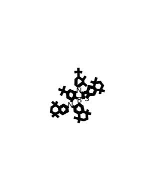 CC1=C(N2c3cc(C(C)(C)C)cc4c3B(c3cc5c(cc3N4c3ccc4c(c3)C(C)(C)CCC4(C)C)C(C)(C)CCC5(C)C)c3sc4cc5c(cc4c32)C(C)(C)CCC5(C)C)C=CC(C(C)(C)C)C1C